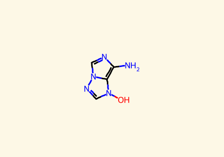 Nc1ncn2ncn(O)c12